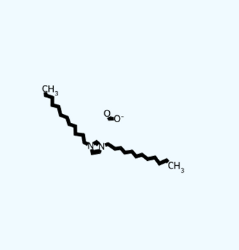 CCCCCCCCCCCCn1cc[n+](CCCCCCCCCCCC)c1.O=C[O-]